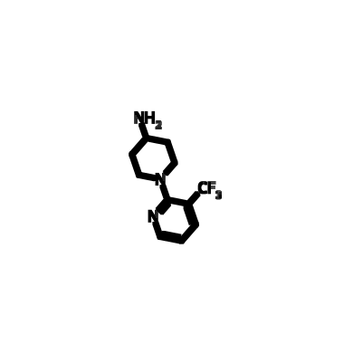 NC1CCN(c2ncccc2C(F)(F)F)CC1